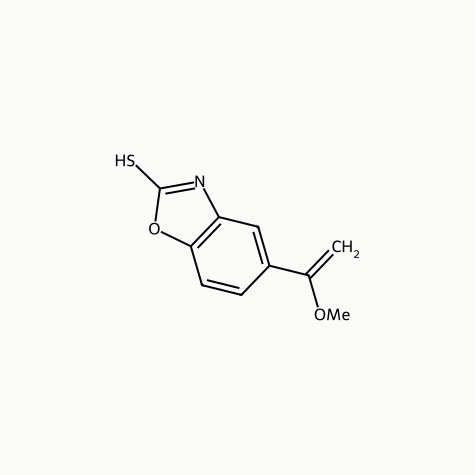 C=C(OC)c1ccc2oc(S)nc2c1